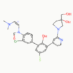 CN(C)/C=C\N(C=O)c1ccc(-c2cc(F)cc(-c3ccnc(N4CCC(O)(CO)C4)c3)c2O)cc1Cl